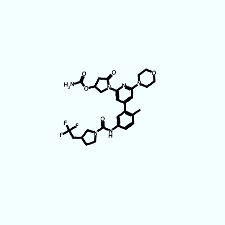 Cc1ccc(NC(=O)N2CCC(CC(F)(F)F)C2)cc1-c1cc(N2CCOCC2)nc(N2CC(OC(N)=O)CC2=O)c1